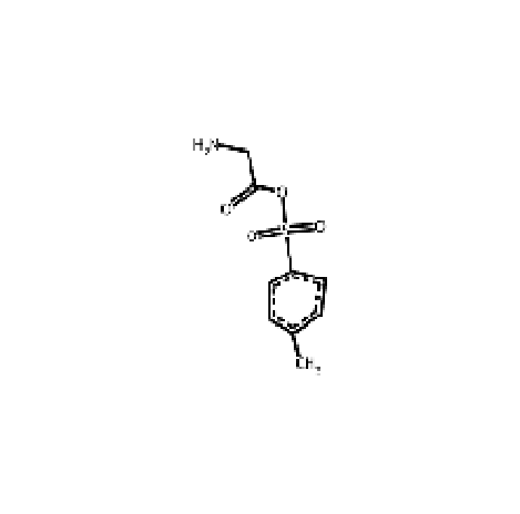 Cc1ccc(S(=O)(=O)OC(=O)CN)cc1